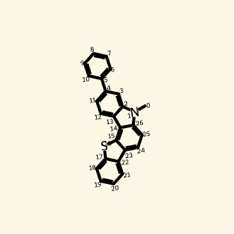 Cn1c2cc(-c3ccccc3)ccc2c2c3sc4ccccc4c3ccc21